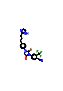 N#Cc1ccc(N2C(=O)CN(c3ccc(CCCc4ncc[nH]4)cc3)C2=S)cc1C(F)(F)F